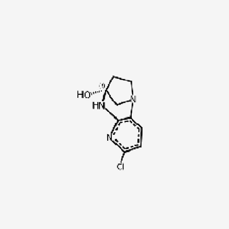 O[C@]12CCN(C1)c1ccc(Cl)nc1N2